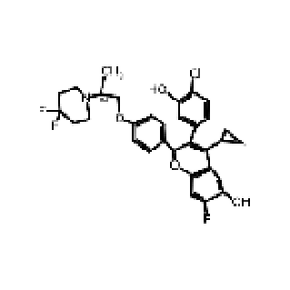 C[C@@H](COc1ccc(C2Oc3cc(F)c(O)cc3C(C3CC3)=C2c2ccc(Cl)c(O)c2)cc1)N1CCC(F)(F)CC1